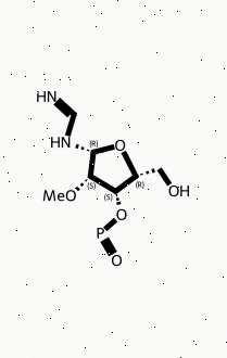 CO[C@H]1[C@@H](OP=O)[C@@H](CO)O[C@H]1NC=N